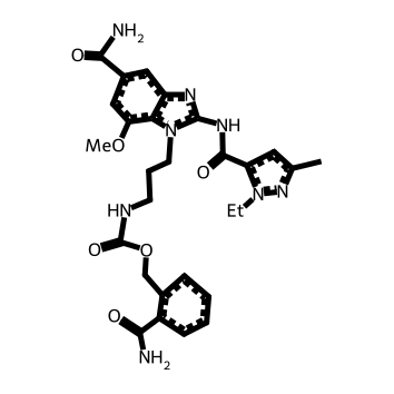 CCn1nc(C)cc1C(=O)Nc1nc2cc(C(N)=O)cc(OC)c2n1CCCNC(=O)OCc1ccccc1C(N)=O